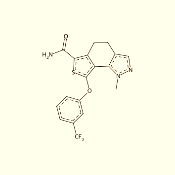 Cn1ncc2c1-c1c(Oc3cccc(C(F)(F)F)c3)sc(C(N)=O)c1CC2